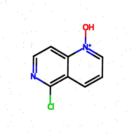 O[n+]1cccc2c(Cl)nccc21